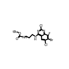 CC(C)(C)OC(=O)NCCCNc1nc(Cl)nc2c(F)c(Br)c(Cl)cc12